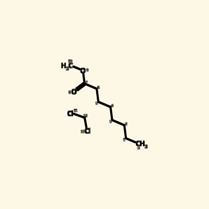 CCCCCCCC(=O)OC.ClCCl